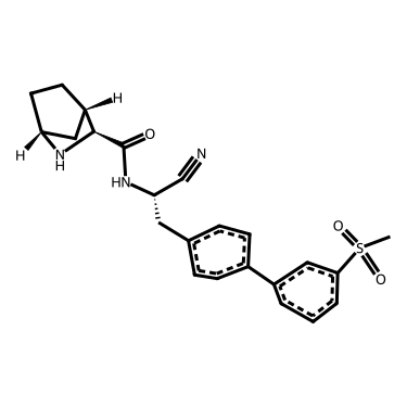 CS(=O)(=O)c1cccc(-c2ccc(C[C@@H](C#N)NC(=O)[C@H]3N[C@@H]4CC[C@H]3C4)cc2)c1